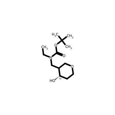 CCN(CC1COCC[C@@H]1O)C(=O)OC(C)(C)C